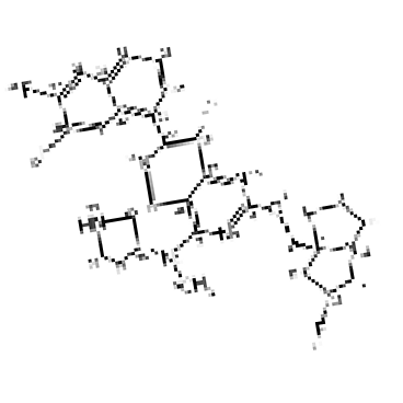 CN(c1nc(OC[C@@]23CCCN2C[C@H](F)C3)nc2c(F)c(-c3cccc4cc(F)c(F)cc34)ncc12)[C@@H]1CCNC1